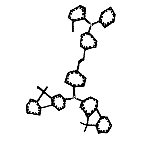 Cc1ccccc1N(c1ccccc1)c1ccc(/C=C/c2ccc(N(c3ccc4c(c3)C(C)(C)c3ccccc3-4)c3ccc4c(c3)C(C)(C)c3ccccc3-4)cc2)cc1